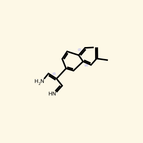 C=C(C)/C=c1/cc(/C(C=N)=C/N)cc/c1=C/C